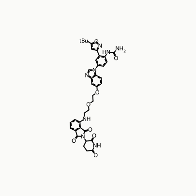 CC(C)(C)c1cc(-c2cc(-n3cnc4cc(OCCOCCNc5cccc6c5C(=O)N(C5CCC(=O)NC5=O)C6=O)ccc43)ccc2NC(N)=O)no1